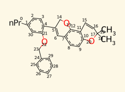 CCCc1ccc(C2=Cc3ccc4c(c3OC2)C=CC(C)(C)O4)c(OCc2ccccc2)c1